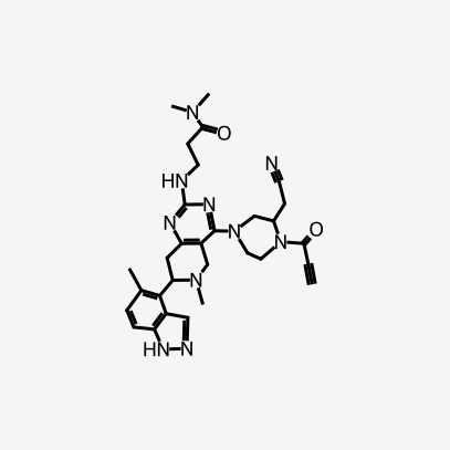 C#CC(=O)N1CCN(c2nc(NCCC(=O)N(C)C)nc3c2CN(C)C(c2c(C)ccc4[nH]ncc24)C3)CC1CC#N